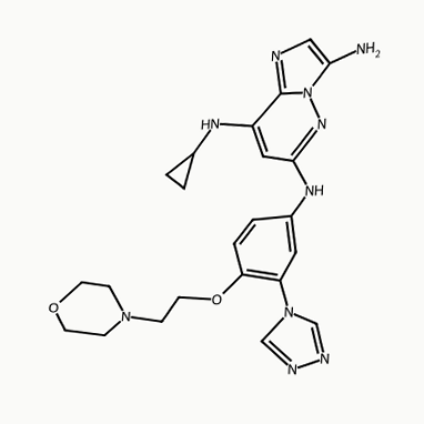 Nc1cnc2c(NC3CC3)cc(Nc3ccc(OCCN4CCOCC4)c(-n4cnnc4)c3)nn12